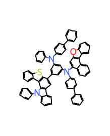 c1ccc(-c2ccc(N(c3ccccc3)c3cc(-c4cc5c6ccccc6n(-c6ccccc6)c5c5c4sc4ccccc45)cc(N(c4ccc(-c5ccccc5)cc4)c4cc5oc6ccccc6c5c5ccccc45)c3)cc2)cc1